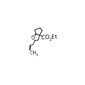 C/C=C\CCCC1(C(=O)OCC)CCCC1=O